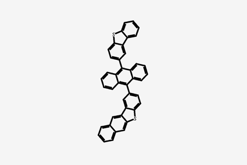 c1ccc2cc3c(cc2c1)sc1ccc(-c2c4ccccc4c(-c4ccc5sc6ccccc6c5c4)c4ccccc24)cc13